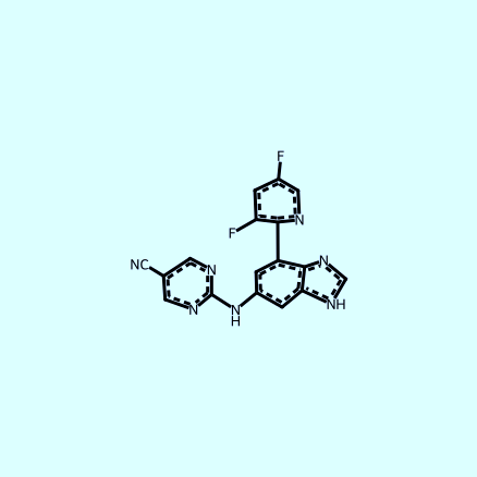 N#Cc1cnc(Nc2cc(-c3ncc(F)cc3F)c3nc[nH]c3c2)nc1